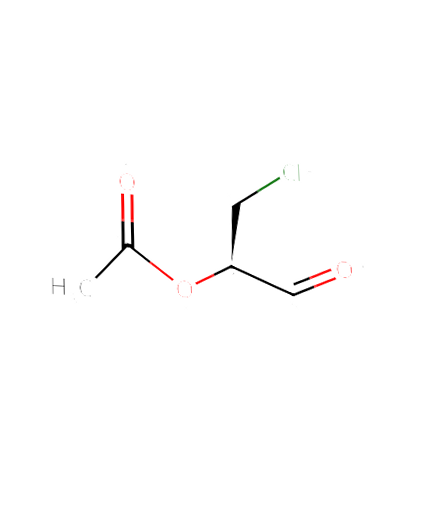 CC(=O)O[C@H](C=O)CCl